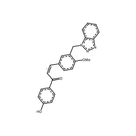 COc1ccc(/C=C\C(=O)c2ccc(O)cc2)cc1Cn1nnc2ccccc21